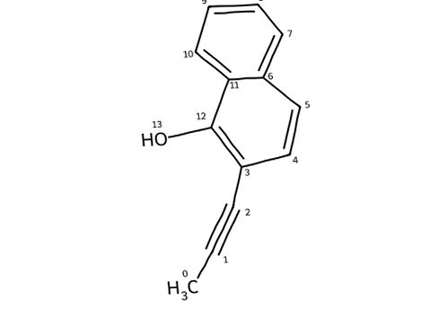 CC#Cc1ccc2ccccc2c1O